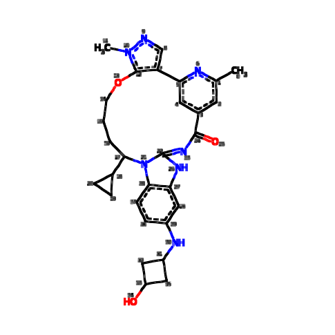 Cc1cc2cc(n1)-c1cnn(C)c1OCCCC(C1CC1)N1/C(=N/C2=O)Nc2cc(NC3CC(O)C3)ccc21